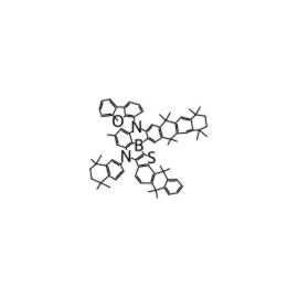 Cc1cc2c3c(c1)N(c1cccc4c1oc1ccccc14)c1cc4c(cc1B3c1sc3c5c(ccc3c1N2c1ccc2c(c1)C(C)(C)CCC2(C)C)C(C)(C)c1ccccc1C5(C)C)C(C)(C)c1cc2c(cc1C4(C)C)C(C)(C)CCC2(C)C